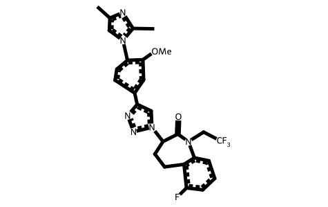 COc1cc(-c2cn(C3CCc4c(F)cccc4N(CC(F)(F)F)C3=O)nn2)ccc1-n1cc(C)nc1C